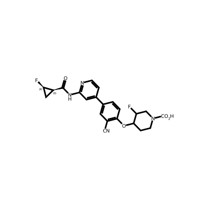 N#Cc1cc(-c2ccnc(NC(=O)[C@H]3C[C@H]3F)c2)ccc1OC1CCN(C(=O)O)CC1F